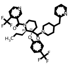 CCC[C@H]1N(C(=O)c2cnccc2C(F)(F)F)CCC[C@@]1(Oc1ccc(C(F)(F)F)cc1)C(=O)N1CCC(Cc2ccccn2)CC1